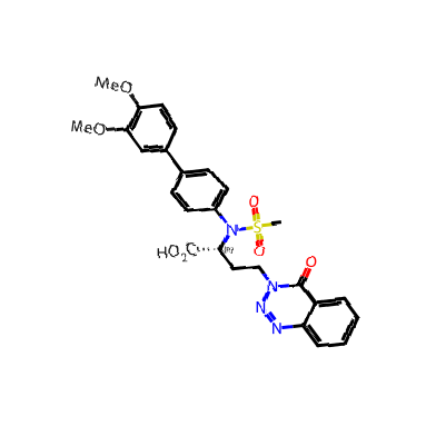 COc1ccc(-c2ccc(N([C@H](CCn3nnc4ccccc4c3=O)C(=O)O)S(C)(=O)=O)cc2)cc1OC